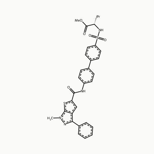 COC(=O)[C@@H](NS(=O)(=O)c1ccc(-c2ccc(NC(=O)c3cc4c(-c5ccccc5)nn(C)c4s3)cc2)cc1)C(C)C